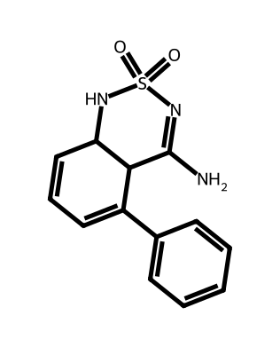 NC1=NS(=O)(=O)NC2C=CC=C(c3ccccc3)C12